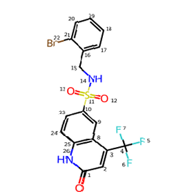 O=c1cc(C(F)(F)F)c2cc(S(=O)(=O)NCc3ccccc3Br)ccc2[nH]1